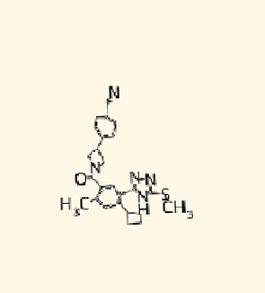 CSc1nnc(-c2cc(C(=O)N3CC(c4ccc(C#N)cc4)C3)c(C)cc2C2CCC2)[nH]1